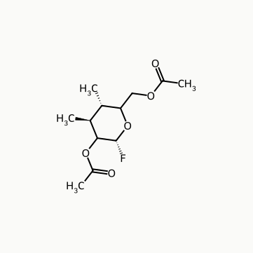 CC(=O)OCC1O[C@H](F)C(OC(C)=O)[C@@H](C)[C@@H]1C